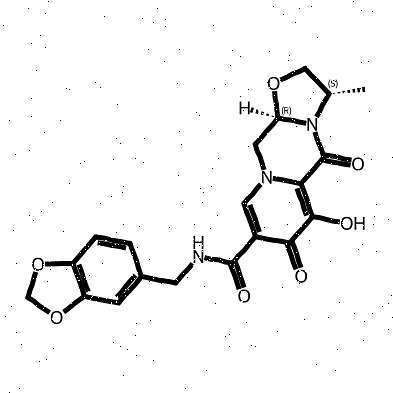 C[C@H]1CO[C@@H]2Cn3cc(C(=O)NCc4ccc5c(c4)OCO5)c(=O)c(O)c3C(=O)N12